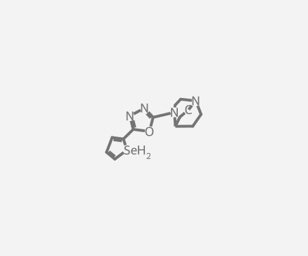 C1=C[SeH2]C(c2nnc(N3CCN4CCC3CC4)o2)=C1